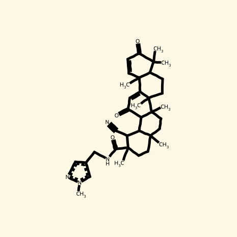 Cn1cc(CNC(=O)C2(C)CCC3(C)CCC4(C)C(C(=O)C=C5C6(C)C=CC(=O)C(C)(C)C6CCC54C)C3C2C#N)cn1